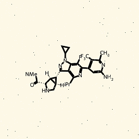 CNC(=O)[C@H]1NC[C@@H]2[C@@H](c3nn(C4CC4)c4c(F)c(-c5cc(N)nc(C)c5C(F)(F)F)nc(C(C)C)c34)[C@@H]21